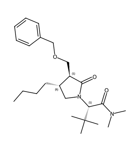 CCCC[C@H]1CN([C@H](C(=O)N(C)C)C(C)(C)C)C(=O)[C@@H]1COCc1ccccc1